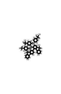 CC(C)(C)c1ccc(N2B3c4cc(C(C)(C)C)ccc4N(c4ccc(C(C)(C)C)cc4)c4cc5c(c(c43)-c3ccc4c(c32)C(C)(C)c2ccccc2-4)-c2ccccc2C5(C)C)cc1